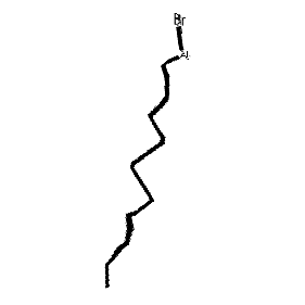 CCCCCCCCC[CH2][Al][Br]